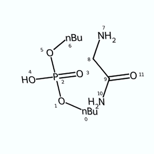 CCCCOP(=O)(O)OCCCC.NCC(N)=O